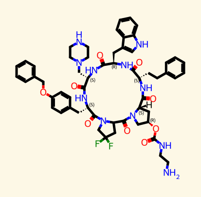 NCCNC(=O)O[C@@H]1C[C@H]2C(=O)N[C@@H](CCc3ccccc3)C(=O)N[C@H](Cc3c[nH]c4ccccc34)C(=O)N[C@@H](CN3CCNCC3)C(=O)N[C@@H](Cc3ccc(OCc4ccccc4)cc3)C(=O)N3CC(F)(F)CC3C(=O)N2C1